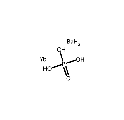 O=P(O)(O)O.[BaH2].[Yb]